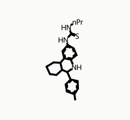 CCCNC(=S)Nc1ccc2c(c1)C1CCCCC1C(c1ccc(C)cc1)N2